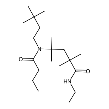 CCCC(=O)N(CCC(C)(C)C)C(C)(C)CC(C)(C)C(=O)NCC